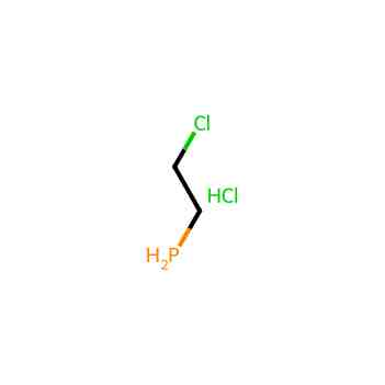 Cl.PCCCl